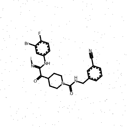 N#Cc1cccc(CNC(=O)N2CCC(C(=O)/C(=N/I)Nc3ccc(F)c(Br)c3)CC2)c1